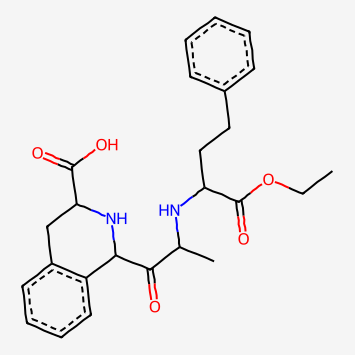 CCOC(=O)C(CCc1ccccc1)NC(C)C(=O)C1NC(C(=O)O)Cc2ccccc21